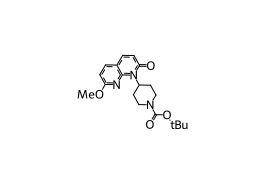 COc1ccc2ccc(=O)n(C3CCN(C(=O)OC(C)(C)C)CC3)c2n1